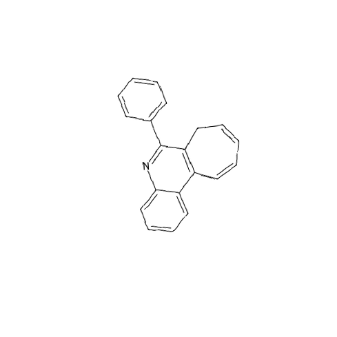 C1=CCc2c(-c3ccccc3)nc3ccccc3c2C=C1